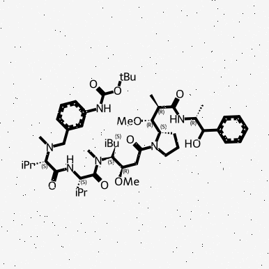 CC[C@H](C)[C@@H]([C@@H](CC(=O)N1CCC[C@H]1[C@H](OC)[C@@H](C)C(=O)N[C@H](C)C(O)c1ccccc1)OC)N(C)C(=O)[C@@H](NC(=O)[C@H](C(C)C)N(C)Cc1cccc(NC(=O)OC(C)(C)C)c1)C(C)C